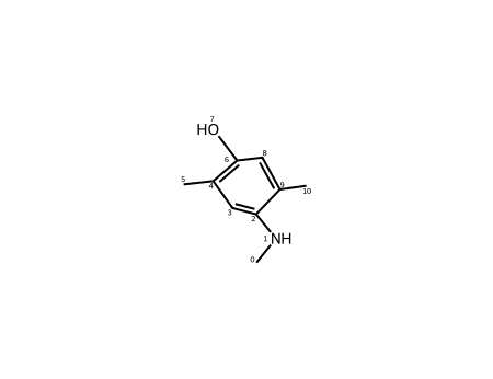 CNc1cc(C)c(O)cc1C